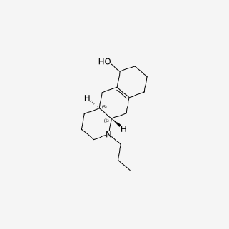 CCCN1CCC[C@H]2CC3=C(CCCC3O)C[C@@H]21